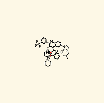 CC(C)CN1CCN(c2ccc3nc(-c4cccc(C(F)(F)F)c4)c(CN4CCC(N5CCCCC5)CC4)c(C(=O)NC4(c5ccccc5)CC4)c3c2)C1=O